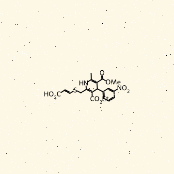 CCOC(=O)C1=C(CSC=CC(=O)O)NC(C)=C(C(=O)OC)C1c1cccc([N+](=O)[O-])c1